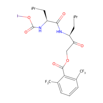 CC(C)C[C@H](NC(=O)[C@H](CC(C)C)NC(=O)OI)C(=O)COC(=O)c1c(C(F)(F)F)cccc1C(F)(F)F